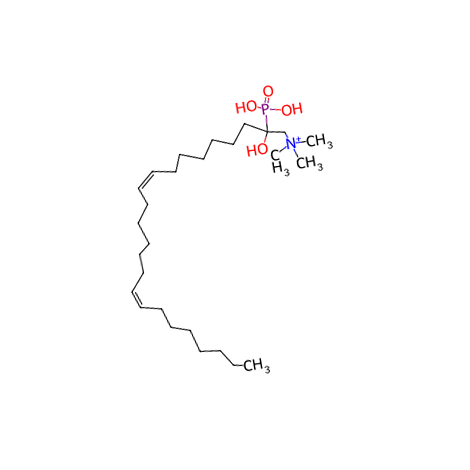 CCCCCCC/C=C\CCCCC/C=C\CCCCCCC(O)(C[N+](C)(C)C)P(=O)(O)O